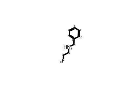 FCCNCc1ccccc1